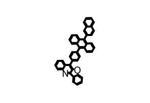 c1ccc2cc(-c3c4ccccc4c(-c4ccc(-c5c6ccccc6nc6c5oc5ccccc56)cc4)c4ccccc34)ccc2c1